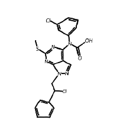 CSc1nc(N(C(=O)O)c2cccc(Cl)c2)c2cnn(CC(Cl)c3ccccc3)c2n1